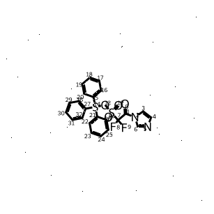 O=C(n1ccnc1)C(F)(F)S(=O)(=O)OS(c1ccccc1)(c1ccccc1)c1ccccc1